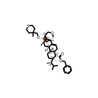 CC(C)[C@@H](C)[C@@]1(C)CC[C@]2(C)[C@H]3CC[C@@H]4[C@@]5(COC[C@]4(C)[C@@H](OCC4(C)CCSCC4)[C@H](C)C5)C3=CC[C@@]2(C)[C@@H]1C(=O)OCc1ccccc1